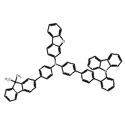 CC1(C)c2ccccc2-c2ccc(-c3ccc(N(c4ccc(-c5ccc(-c6ccccc6-n6c7ccccc7c7ccccc76)cc5)cc4)c4ccc5c(c4)oc4ccccc45)cc3)cc21